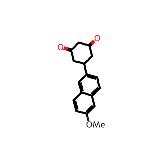 COc1ccc2cc(C3CC(=O)CC(=O)C3)ccc2c1